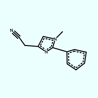 Cn1cc(CC#N)nc1-c1ccccc1